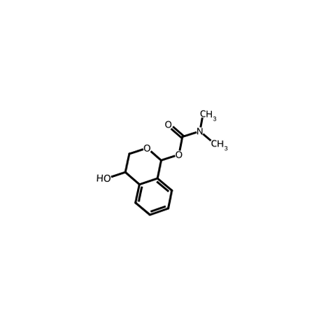 CN(C)C(=O)OC1OCC(O)c2ccccc21